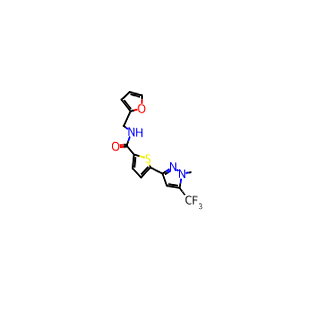 Cn1nc(-c2ccc(C(=O)NCc3ccco3)s2)cc1C(F)(F)F